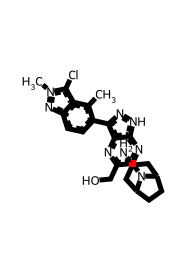 Cc1c(-c2n[nH]c3nc(N4C5CCC4CC(N)C5)c(CO)nc23)ccc2nn(C)c(Cl)c12